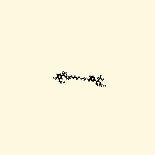 CC(=O)Oc1nc(O)ncc1-c1cccc(COCCOCCCCCCNC[C@@H](O)c2ccc(O)c(CO)c2)c1